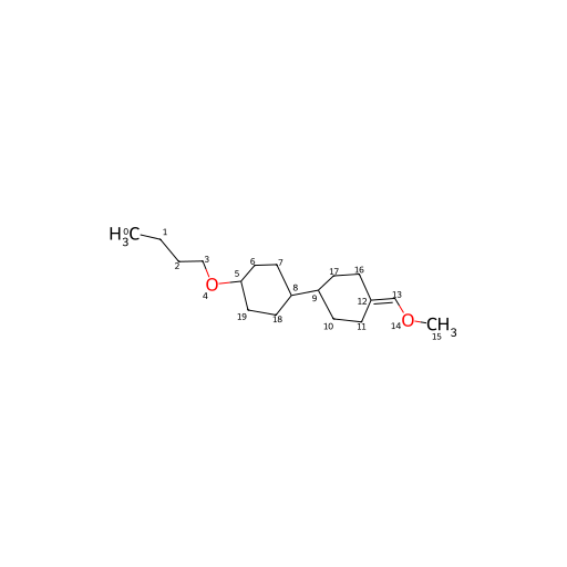 CCCCOC1CCC(C2CCC(=COC)CC2)CC1